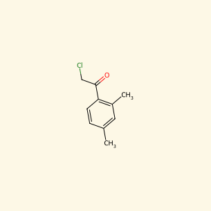 Cc1ccc(C(=O)CCl)c(C)c1